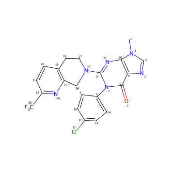 Cn1cnc2c(=O)n(-c3ccc(Cl)cc3)c(N3CCc4ccc(C(F)(F)F)nc4C3)nc21